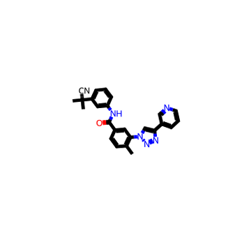 Cc1ccc(C(=O)Nc2cccc(C(C)(C)C#N)c2)cc1-n1cc(-c2cccnc2)nn1